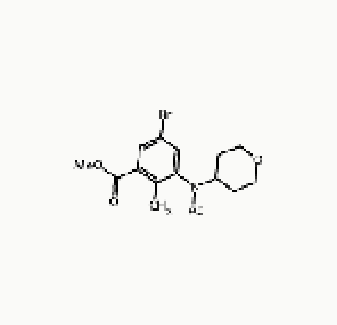 COC(=O)c1cc(Br)cc(N(C(C)=O)C2CCOCC2)c1C